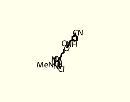 CNc1nc(Cl)nc2c1ncn2CCCCOC(=O)NCc1cccc(C#N)c1